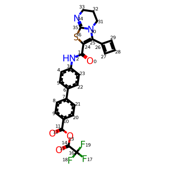 O=C(Nc1ccc(-c2ccc(C(=O)OC(=O)C(F)(F)F)cc2)cc1)C1=C(C2=CC=C2)N2CCCN=C2S1